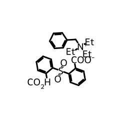 CC[N+](CC)(CC)Cc1ccccc1.O=C([O-])c1ccccc1S(=O)(=O)c1ccccc1C(=O)O